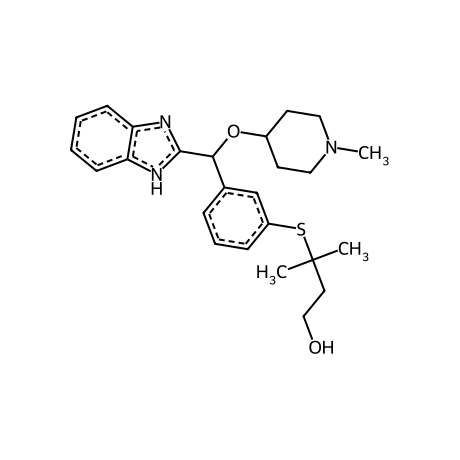 CN1CCC(OC(c2cccc(SC(C)(C)CCO)c2)c2nc3ccccc3[nH]2)CC1